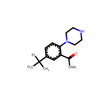 CCC(C)(C)c1ccc(N2CCNCC2)c(C(=O)OC)c1